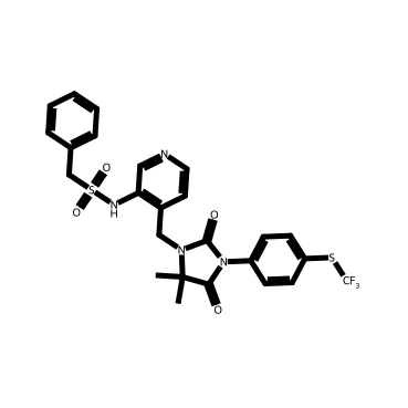 CC1(C)C(=O)N(c2ccc(SC(F)(F)F)cc2)C(=O)N1Cc1ccncc1NS(=O)(=O)Cc1ccccc1